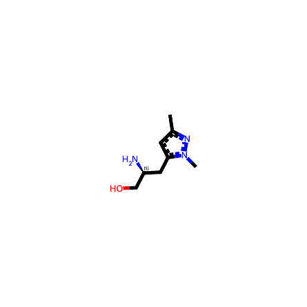 Cc1cc(C[C@H](N)CO)n(C)n1